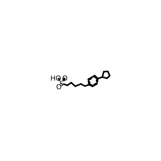 O=S(=O)(O)CCCCCc1ccc(C2CCCC2)cc1